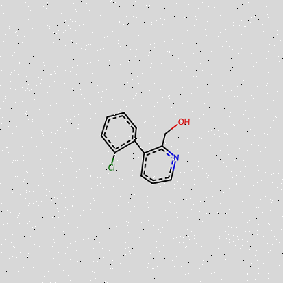 OCc1ncccc1-c1ccccc1Cl